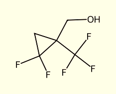 OCC1(C(F)(F)F)CC1(F)F